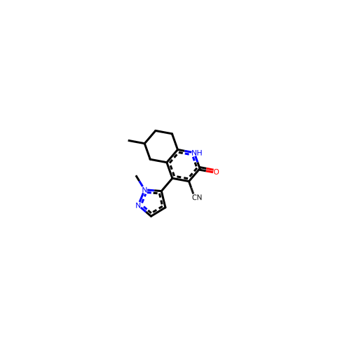 CC1CCc2[nH]c(=O)c(C#N)c(-c3ccnn3C)c2C1